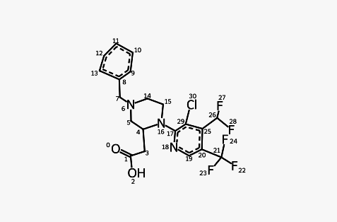 O=C(O)CC1CN(Cc2ccccc2)CCN1c1ncc(C(F)(F)F)c(C(F)F)c1Cl